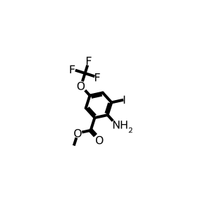 COC(=O)c1cc(OC(F)(F)F)cc(I)c1N